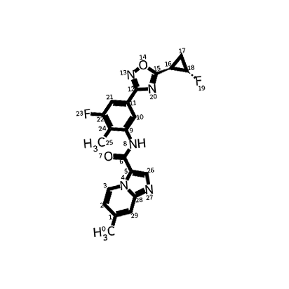 Cc1ccn2c(C(=O)Nc3cc(-c4noc([C@H]5C[C@@H]5F)n4)cc(F)c3C)cnc2c1